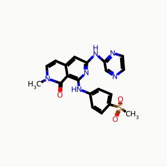 Cn1ccc2cc(Nc3cnccn3)nc(Nc3ccc(S(C)(=O)=O)cc3)c2c1=O